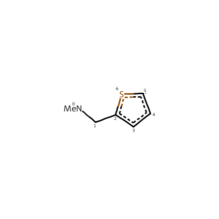 CNCc1cc[c]s1